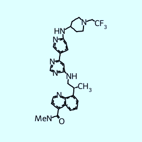 CNC(=O)c1ccnc2c([C@H](C)CNc3cc(-c4ccc(NC5CCN(CC(F)(F)F)CC5)nc4)ncn3)cccc12